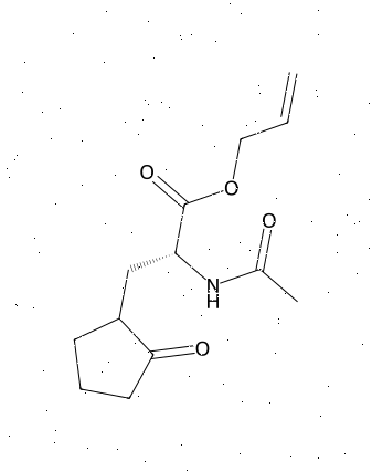 C=CCOC(=O)[C@@H](CC1CCCC1=O)NC(C)=O